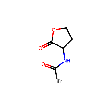 CC(C)C(=O)NC1CCOC1=O